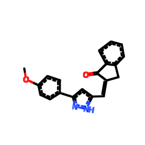 COc1ccc(-c2cc(C=C3Cc4ccccc4C3=O)[nH]n2)cc1